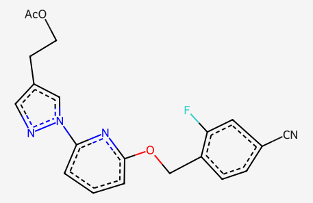 CC(=O)OCCc1cnn(-c2cccc(OCc3ccc(C#N)cc3F)n2)c1